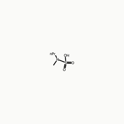 CCCN(C)S(=O)(=O)O